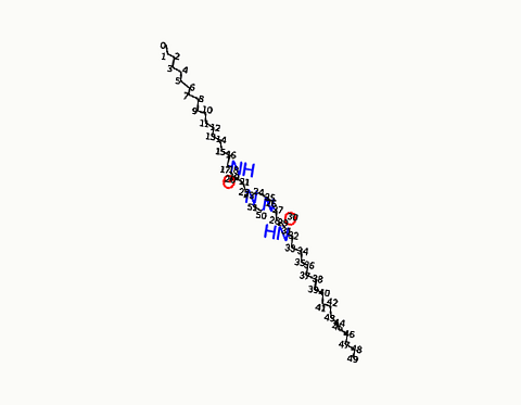 CCCCCCCCCCCCCCCCCCNC(=O)CCN1CCN(CCC(=O)NCCCCCCCCCCCCCCCCCC)CC1